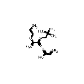 C=C(OCCC)C(=O)OCC(C)(C)C.C=CC(=O)O